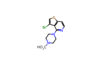 O=C(O)N1CCN(c2nccc3scc(Br)c23)CC1